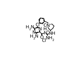 C[N+]1(Cc2ccccc2)CCCC(NC(N)=NC(=O)c2nc(Cl)c(N)nc2N)C1.[Cl-]